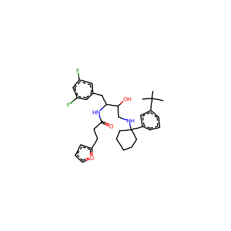 CC(C)(C)c1cccc(C2(NCC(O)C(Cc3cc(F)cc(F)c3)NC(=O)CCc3ccco3)CCCCC2)c1